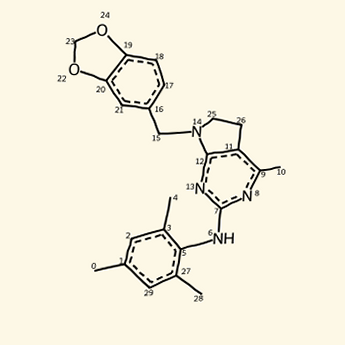 Cc1cc(C)c(Nc2nc(C)c3c(n2)N(Cc2ccc4c(c2)OCO4)CC3)c(C)c1